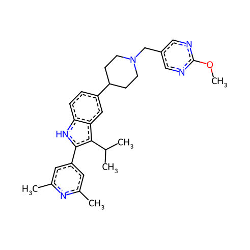 COc1ncc(CN2CCC(c3ccc4[nH]c(-c5cc(C)nc(C)c5)c(C(C)C)c4c3)CC2)cn1